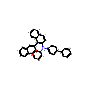 c1ccc(-c2ccc(N(c3ccccc3)c3ccc4ccccc4c3-c3ccc4ccccc4c3)cc2)cc1